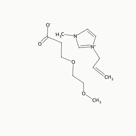 C=CC[n+]1ccn(C)c1.COCCOCCC(=O)[O-]